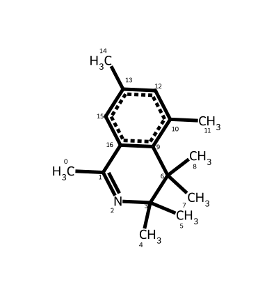 CC1=NC(C)(C)C(C)(C)c2c(C)cc(C)cc21